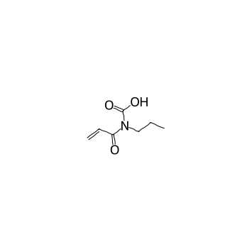 C=CC(=O)N(CCC)C(=O)O